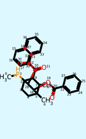 CPC12CCC(C)(C(C)C1C(=O)c1ccccc1)C(OC(=O)c1ccccc1)C2OC(=O)c1ccccc1